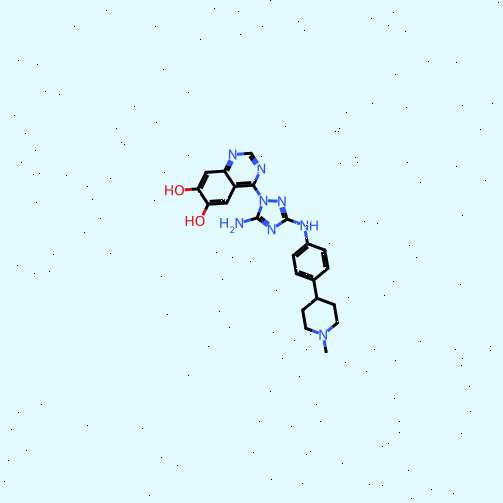 CN1CCC(c2ccc(Nc3nc(N)n(-c4ncnc5cc(O)c(O)cc45)n3)cc2)CC1